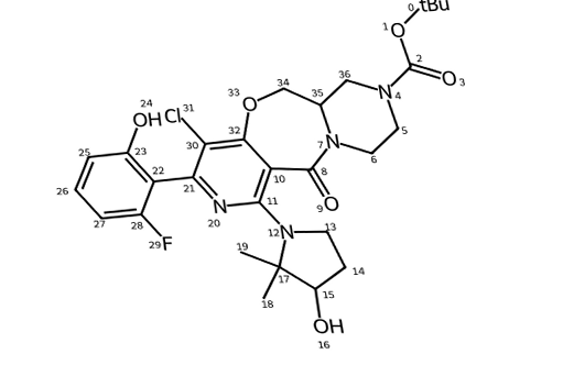 CC(C)(C)OC(=O)N1CCN2C(=O)c3c(N4CCC(O)C4(C)C)nc(-c4c(O)cccc4F)c(Cl)c3OCC2C1